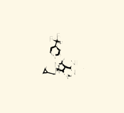 Nc1ncnc2c1c(Oc1cc(C(F)(F)F)ccn1)nn2CC1CC1